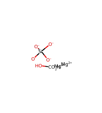 O=C(O)O.[Mg+2].[Mg+2].[O-][Si]([O-])([O-])[O-]